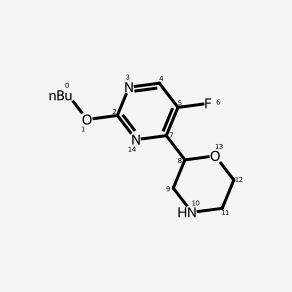 CCCCOc1ncc(F)c(C2CNCCO2)n1